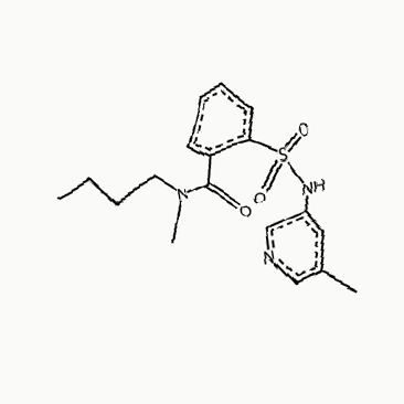 CCCCN(C)C(=O)c1ccccc1S(=O)(=O)Nc1cncc(C)c1